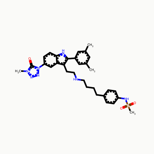 Cc1cc(C)cc(-c2[nH]c3ccc(-n4nnn(C)c4=O)cc3c2CCNCCCCc2ccc(NS(C)(=O)=O)cc2)c1